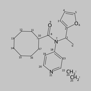 CC(c1ccco1)N(C(=O)[C]1CCCCCCC1)c1ccncc1.[CH2].[CH2]